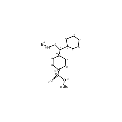 CCNCC(C1CCCCC1)N1CCN(C(=O)OC(C)(C)C)CC1